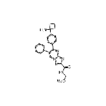 COCNC(=O)c1nc2nc(-c3ccc(C4(N)CCC4)cc3)c(-c3ccccc3)cn2n1